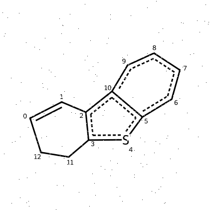 C1=Cc2c(sc3ccccc23)CC1